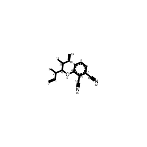 C=CC(C)C(Oc1cccc(C#N)c1C#N)C(C)C=C